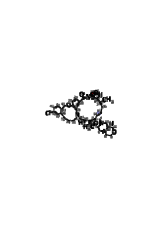 CO[C@]1(CN2CCN3CCOC[C@@H]3C2)/C=C/C[C@H](C)[C@H]2CCN(C(=O)c3ccc4c(c3)N(CCCCc3cc(Cl)ccc3CO4)C[C@@H]3CC[C@H]31)S2(=O)=O